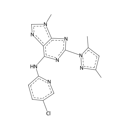 Cc1cc(C)n(-c2nc(Nc3ccc(Cl)cn3)c3ncn(C)c3n2)n1